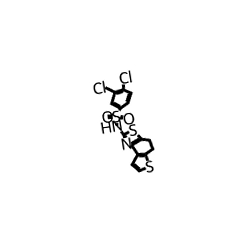 O=S(=O)(Nc1nc2c(s1)CCc1sccc1-2)c1ccc(Cl)c(Cl)c1